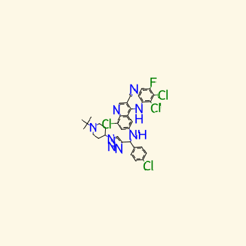 CC(C)(C)N1CCC(n2cc([C@@H](Nc3cc(Cl)c4ncc(C#N)c(Nc5ccc(F)c(Cl)c5Cl)c4c3)c3ccc(Cl)cc3)nn2)CC1